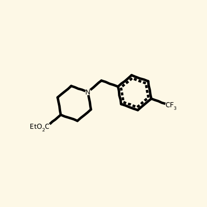 CCOC(=O)C1CCN(Cc2ccc(C(F)(F)F)cc2)CC1